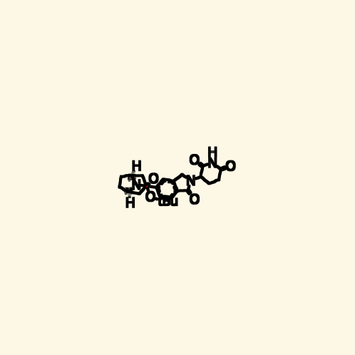 CC(C)(C)OC(=O)N1[C@@H]2CC[C@H]1CC(c1ccc3c(c1)CN(C1CCC(=O)NC1=O)C3=O)C2